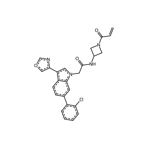 C=CC(=O)N1CC(NC(=O)Cn2cc(-c3cocn3)c3ccc(-c4ccccc4Cl)cc32)C1